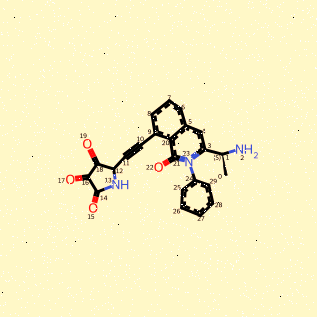 C[C@H](N)c1cc2cccc(C#CC3NC(=O)C(=O)C3=O)c2c(=O)n1-c1ccccc1